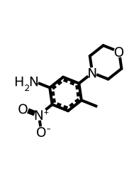 Cc1cc([N+](=O)[O-])c(N)cc1N1CCOCC1